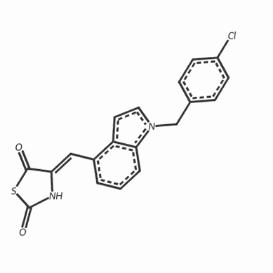 O=C1NC(=Cc2cccc3c2ccn3Cc2ccc(Cl)cc2)C(=O)S1